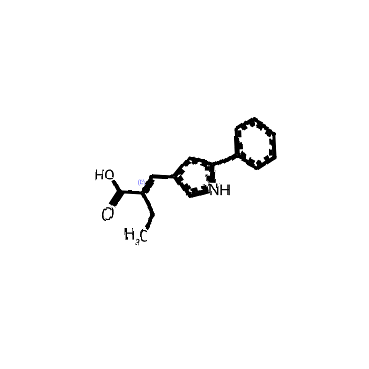 CC/C(=C\c1c[nH]c(-c2ccccc2)c1)C(=O)O